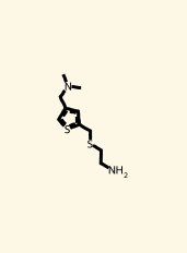 CN(C)Cc1csc(CSCCN)c1